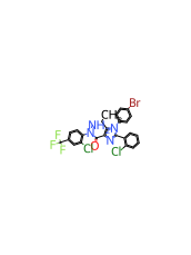 CCc1c(C(=O)N(N)c2ccc(C(F)(F)F)cc2Cl)nc(-c2ccccc2Cl)n1-c1ccc(Br)cc1